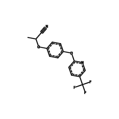 CC(C#N)Oc1ccc(Oc2ccc(C(F)(F)F)cn2)cc1